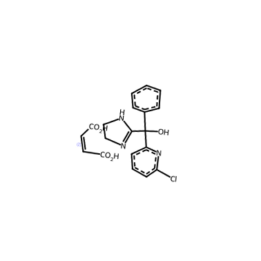 O=C(O)/C=C\C(=O)O.OC(C1=NCCN1)(c1ccccc1)c1cccc(Cl)n1